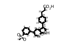 CS(=O)(=O)c1cccc(-c2cnc3[nH]cc(-c4ccc(CCC(=O)O)cc4)c3c2)c1